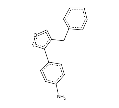 Nc1ccc(-c2nocc2Cc2ccccc2)cc1